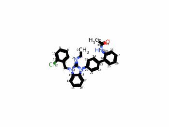 CCN=c1n(Cc2ccccc2Cl)c2ccccc2n1-c1ccc(-c2ccccc2NC(C)=O)cc1